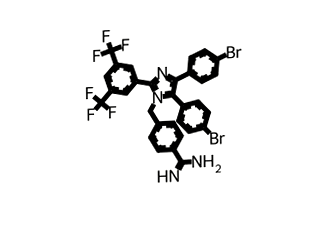 N=C(N)c1ccc(Cn2c(-c3cc(C(F)(F)F)cc(C(F)(F)F)c3)nc(-c3ccc(Br)cc3)c2-c2ccc(Br)cc2)cc1